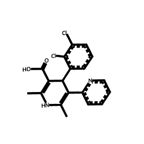 CC1=C(C(=O)O)C(c2cccc(Cl)c2Cl)C(c2ccccn2)=C(C)N1